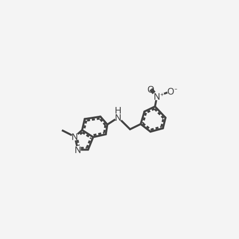 Cn1ncc2cc(NCc3cccc([N+](=O)[O-])c3)ccc21